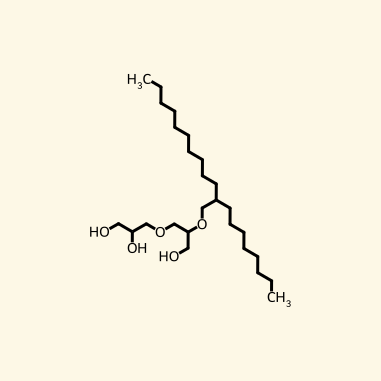 CCCCCCCCCCC(CCCCCCCC)COC(CO)COCC(O)CO